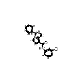 O=C(Nc1cccc(Cl)c1)c1ccn2c1CSC2c1cccnc1